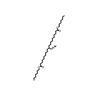 CCCCCCCOC(=O)CCCCCCCCCC(CCCCCCCCCC(=O)OCCCCCCC)N=[N+]=[N-]